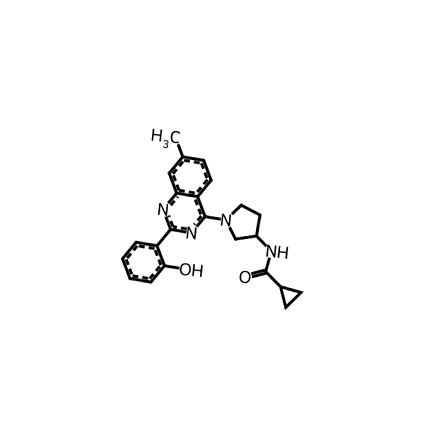 Cc1ccc2c(N3CCC(NC(=O)C4CC4)C3)nc(-c3ccccc3O)nc2c1